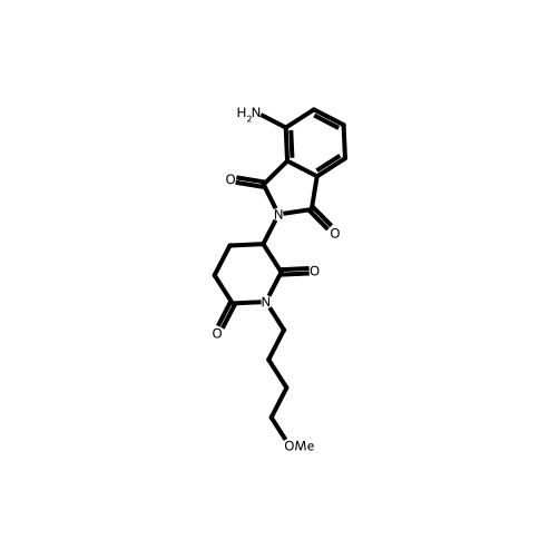 COCCCCN1C(=O)CCC(N2C(=O)c3cccc(N)c3C2=O)C1=O